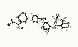 C=C(C#N)C(O)c1cccc(-c2ccc(Nc3ncc(C)c(NCc4cccnc4N(C)S(C)(=O)=O)n3)cc2)c1